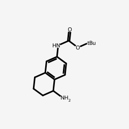 CC(C)(C)OC(=O)Nc1ccc2c(c1)CCCC2N